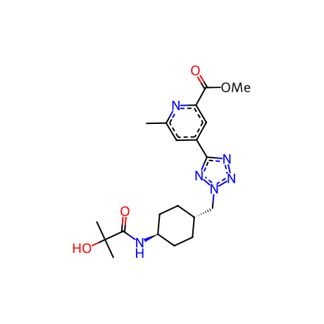 COC(=O)c1cc(-c2nnn(C[C@H]3CC[C@H](NC(=O)C(C)(C)O)CC3)n2)cc(C)n1